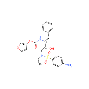 CC(C)CN(C[C@@H](O)[C@H](Cc1ccccc1)NC(=O)Oc1ccoc1)S(=O)(=O)c1ccc(N)cc1